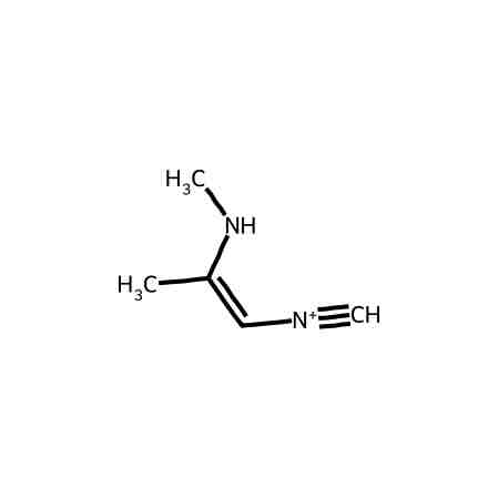 C#[N+]/C=C(/C)NC